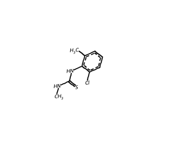 CNC(=S)Nc1c(C)cccc1Cl